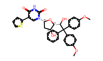 COc1ccc(C(c2ccccc2)(c2ccc(OC)cc2)C(O)[C@H]2O[C@@H](n3cc(-c4cccs4)c(=O)[nH]c3=O)C[C@@H]2O)cc1